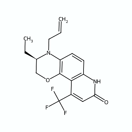 C=CCN1c2ccc3[nH]c(=O)cc(C(F)(F)F)c3c2OC[C@H]1CC